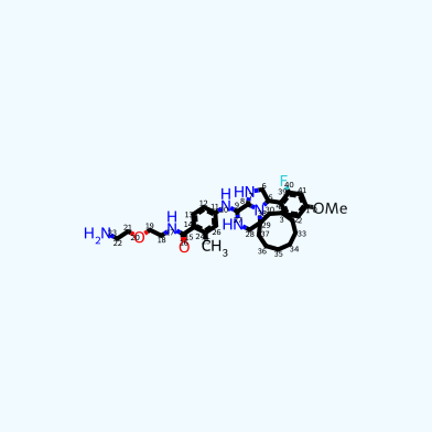 COc1ccc(C2CNC3C(Nc4ccc(C(=O)NCCOCCN)c(C)c4)NCC4(CCCCCCCC4)N23)c(F)c1